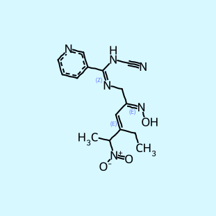 CC/C(=C\C(C/N=C(\NC#N)c1cccnc1)=N/O)C(C)[N+](=O)[O-]